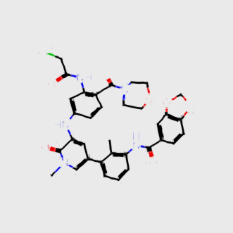 Cc1c(NC(=O)c2ccc3c(c2)OCO3)cccc1-c1cc(Nc2ccc(C(=O)N3CCOCC3)c(NC(=O)CCl)c2)c(=O)n(C)c1